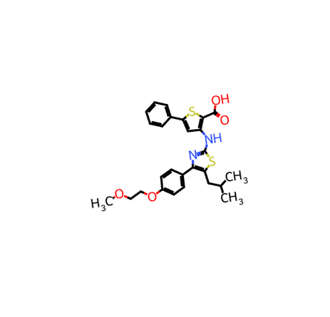 COCCOc1ccc(-c2nc(Nc3cc(-c4ccccc4)sc3C(=O)O)sc2CC(C)C)cc1